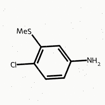 CSc1cc(N)ccc1Cl